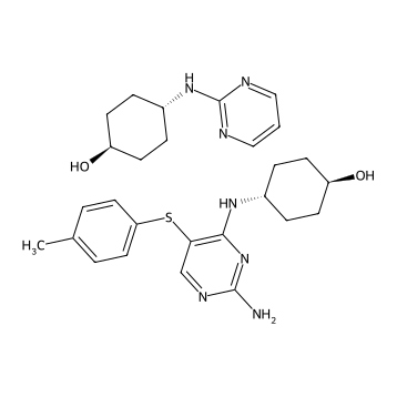 Cc1ccc(Sc2cnc(N)nc2N[C@H]2CC[C@H](O)CC2)cc1.O[C@H]1CC[C@H](Nc2ncccn2)CC1